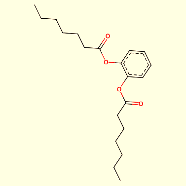 CCCCCCC(=O)Oc1ccccc1OC(=O)CCCCCC